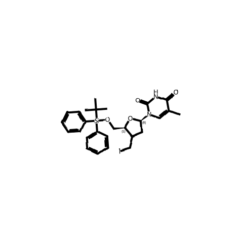 Cc1cn([C@H]2CC(CI)[C@@H](CO[Si](c3ccccc3)(c3ccccc3)C(C)(C)C)O2)c(=O)[nH]c1=O